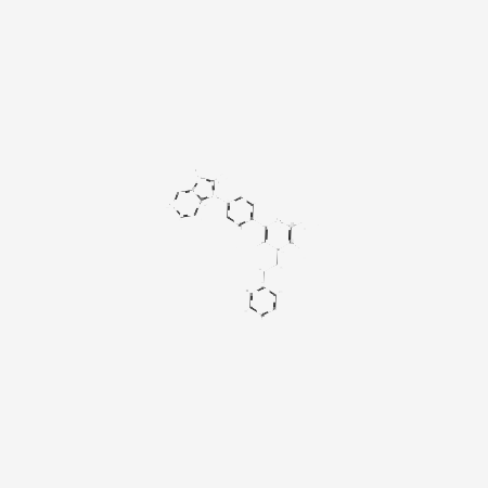 CCOC(=O)C1=C(c2ccc(-n3c(C)nc4cnccc43)cc2)NC(C)=C(C(=O)O)C1CCc1ccccc1